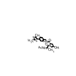 CC(=O)NC(C)C(=O)N1C[C@H](O)C[C@H]1C(=O)NCc1ccc(-c2sc(C)nc2C)cc1